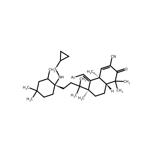 CC(=O)/C=C1/[C@@]2(C)C=C(C#N)C(=O)C(C)(C)[C@@H]2CC[C@@]1(C)C(C)(C)CC[C@@]1(NSC2CC2)CCC(C)(C)CC1C